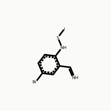 N=Cc1cc(Br)ccc1NSI